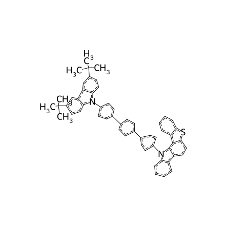 CC(C)(C)c1ccc2c(c1)c1cc(C(C)(C)C)ccc1n2-c1ccc(-c2ccc(-c3ccc(-n4c5ccccc5c5ccc6sc7ccccc7c6c54)cc3)cc2)cc1